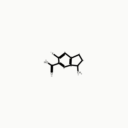 CC1CCc2cc(F)c(C(=O)O)cc21